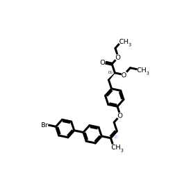 CCOC(=O)[C@H](Cc1ccc(OC/C=C(/C)c2ccc(-c3ccc(Br)cc3)cc2)cc1)OCC